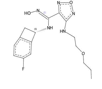 CCCOCCNc1nonc1/C(=N/O)N[C@H]1Cc2ccc(F)cc21